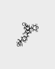 Cn1c(CN2CCN(C(C)(C)CO)CC2)nc2c(N3CCOCC3)nc(Cl)nc21